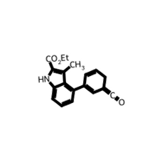 CCOC(=O)c1[nH]c2cccc(C3=CC(=C=O)CC=C3)c2c1C